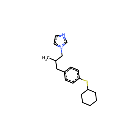 CC(Cc1ccc(SC2CCCCC2)cc1)Cn1ccnc1